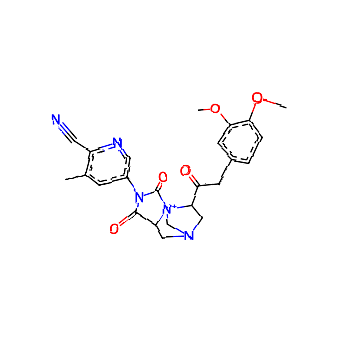 COc1ccc(CC(=O)C2CN3CC4C(=O)N(c5cnc(C#N)c(C)c5)C(=O)[N+]24C3)cc1OC